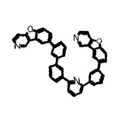 c1cc(-c2cccc(-c3cccc(-c4cccc(-c5ccc6oc7ccncc7c6c5)c4)n3)c2)cc(-c2ccc3oc4ccncc4c3c2)c1